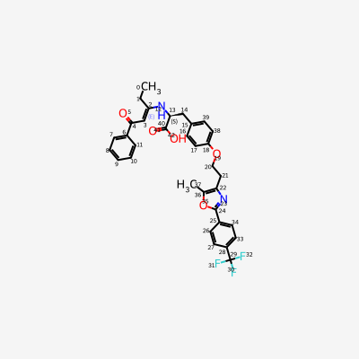 CC/C(=C\C(=O)c1ccccc1)N[C@@H](Cc1ccc(OCCc2nc(-c3ccc(C(F)(F)F)cc3)oc2C)cc1)C(=O)O